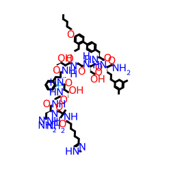 CCCCCOc1ccc(-c2ccc(C[C@H](NC(=O)[C@H](CC(=O)O)NC(=O)CNC(=O)[C@@H](NC(=O)[C@](C)(Cc3ccccc3F)NC(=O)[C@@H](NC(=O)CNC(=O)[C@H](C/C(=N/N)NN)NC(=O)C(C)(C)NC(=O)CCCCCc3c[nH]cn3)[C@@H](C)O)[C@@H](C)O)C(=O)N[C@@H](CCCC3C=C(C)C=C(C)C3)C(N)=O)cc2)c(CC)c1